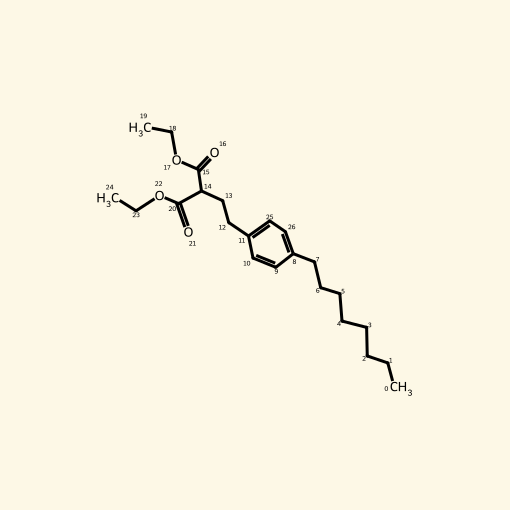 CCCCCCCCc1ccc(CCC(C(=O)OCC)C(=O)OCC)cc1